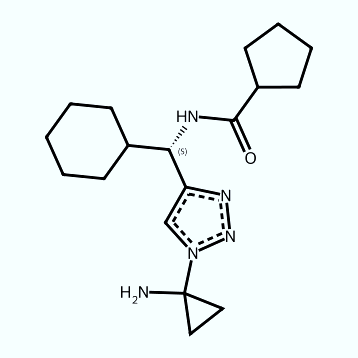 NC1(n2cc([C@@H](NC(=O)C3CCCC3)C3CCCCC3)nn2)CC1